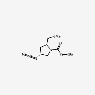 CSC[C@@H]1C[C@@H](N=[N+]=[N-])CN1C(=O)OC(C)(C)C